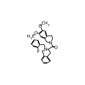 COc1cc2c(cc1OC)CN(C(=O)C1Cc3ccccc3CN1Cc1ccccc1F)CC2